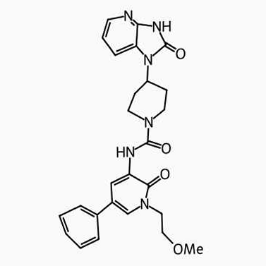 COCCn1cc(-c2ccccc2)cc(NC(=O)N2CCC(n3c(=O)[nH]c4ncccc43)CC2)c1=O